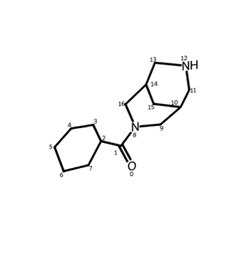 O=C(C1CCCCC1)N1CC2CNCC(C2)C1